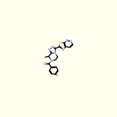 CC1c2nnc(-c3nc4ccnnc4s3)n2CCN1C(=O)c1ccc(F)cc1